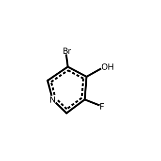 Oc1c(F)cncc1Br